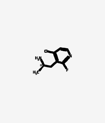 C[C@@H](N)Cc1c(Cl)ccnc1F